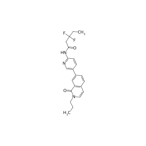 CCCn1ccc2ccc(-c3ccc(NC(=O)CC(F)(F)CC)nc3)cc2c1=O